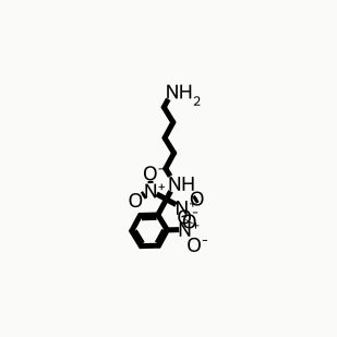 NCCCCCNC(c1ccccc1[N+](=O)[O-])([N+](=O)[O-])[N+](=O)[O-]